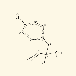 CC(O)(C=O)Cc1ccc(Cl)cc1